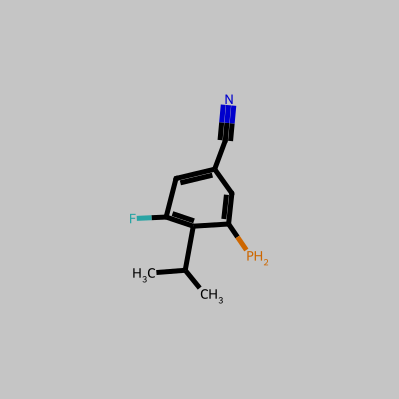 CC(C)c1c(F)cc(C#N)cc1P